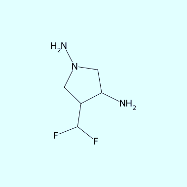 NC1CN(N)CC1C(F)F